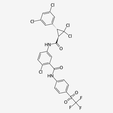 O=C(Nc1ccc(S(=O)(=O)C(F)(F)F)cc1)c1cc(NC(=O)[C@H]2[C@H](c3cc(Cl)cc(Cl)c3)C2(Cl)Cl)ccc1Cl